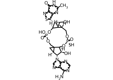 Cc1nc2c([C@@H]3O[C@@H]4CO[P@](=O)(S)O[C@H]5[C@@H](O)[C@H](n6cnc7c(N)ncnc76)[C@H]6CC65COP(=O)(O)O[C@@H]3[C@@H]4CO)snc2c(=O)[nH]1